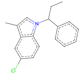 CCC(c1ccccc1)n1cc(C)c2cc(Cl)ccc21